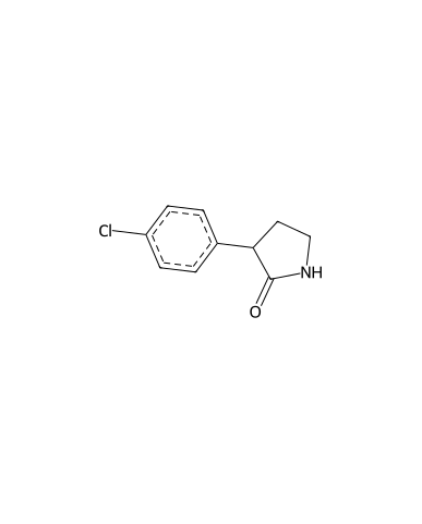 O=C1NCCC1c1ccc(Cl)cc1